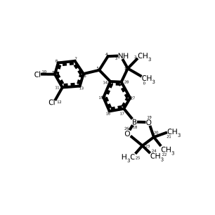 CC1(C)NCC(c2ccc(Cl)c(Cl)c2)c2ccc(B3OC(C)(C)C(C)(C)O3)cc21